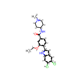 CCOc1cc(C(=O)NC2CCN(C)CC2)ccc1-c1cc2cc(Cl)c(Cl)cc2[nH]1